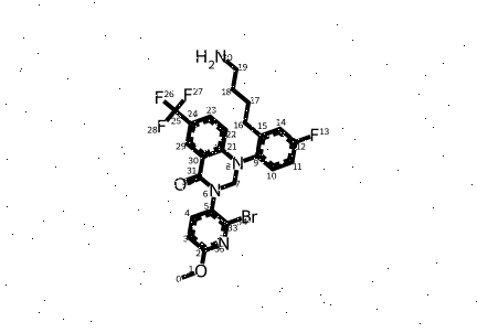 COc1ccc(N2CN(c3ccc(F)cc3CCCCN)c3ccc(C(F)(F)F)cc3C2=O)c(Br)n1